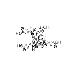 CC(=O)Oc1cc(S(=O)(=O)NCCCC(=O)O)c2ccc3c(S(=O)(=O)NCCCC(=O)O)cc(S(=O)(=O)NCCCC(=O)O)c4ccc1c2c43